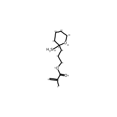 C=C(C)C(=O)OCCCC1([SiH3])CCCCO1